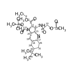 CCOC(=O)c1c(NC(=O)COC(C)=O)c2nc3c(cc2n1C(=O)OC(C)(C)C)CC(C(C)(C)C)CC3